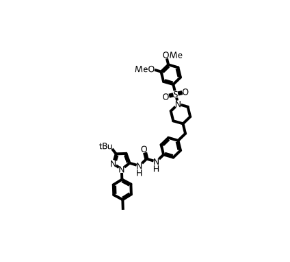 COc1ccc(S(=O)(=O)N2CCC(Cc3ccc(NC(=O)Nc4cc(C(C)(C)C)nn4-c4ccc(C)cc4)cc3)CC2)cc1OC